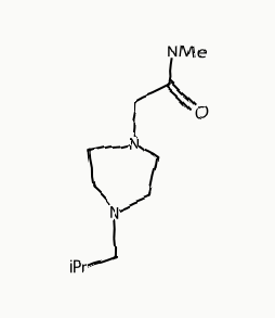 CNC(=O)CN1CCN(CC(C)C)CC1